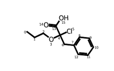 CCCOC(Cl)(Cc1ccccc1)C(=O)O